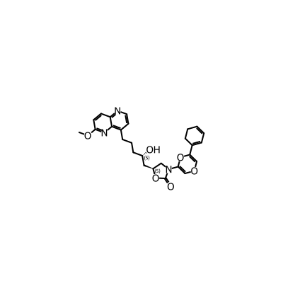 COc1ccc2nccc(CCC[C@H](O)C[C@H]3CN(C4=COC=C(C5=CC=CCC5)O4)C(=O)O3)c2n1